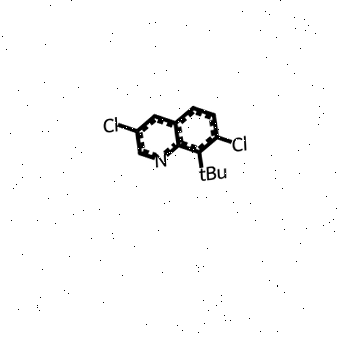 CC(C)(C)c1c(Cl)ccc2cc(Cl)cnc12